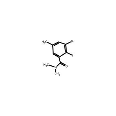 Cc1cc(Br)c(I)c(C(=O)N(C)C)c1